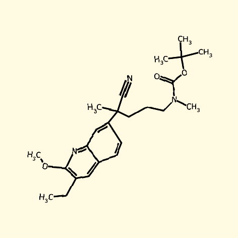 CCc1cc2ccc(C(C)(C#N)CCCN(C)C(=O)OC(C)(C)C)cc2nc1OC